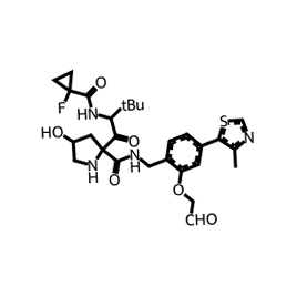 Cc1ncsc1-c1ccc(CNC(=O)C2(C(=O)C(NC(=O)C3(F)CC3)C(C)(C)C)CC(O)CN2)c(OCC=O)c1